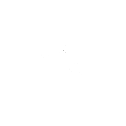 COc1ccccc1NC(=O)CCN1C(=O)/C(=C\c2cccs2)SC1=S